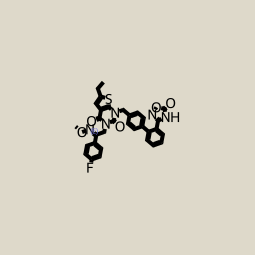 CCc1cc2c(=O)n(C/C(=N/OC)c3ccc(F)cc3)c(=O)n(Cc3ccc(-c4ccccc4-c4noc(=O)[nH]4)cc3)c2s1